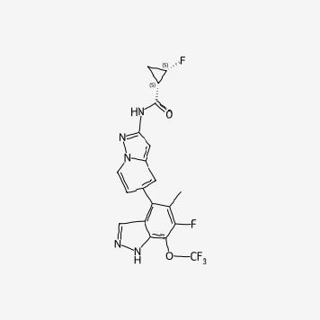 Cc1c(F)c(OC(F)(F)F)c2[nH]ncc2c1-c1ccn2nc(NC(=O)[C@@H]3C[C@@H]3F)cc2c1